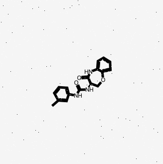 Cc1cccc(NC(=O)N[C@@H]2COc3ccccc3NC2=O)c1